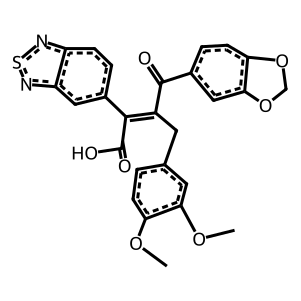 COc1ccc(CC(C(=O)c2ccc3c(c2)OCO3)=C(C(=O)O)c2ccc3nsnc3c2)cc1OC